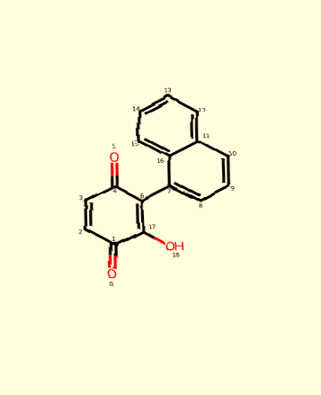 O=C1C=CC(=O)C(c2cccc3ccccc23)=C1O